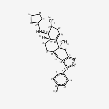 C[C@]12Cc3cnn(-c4ccc(F)cc4)c3C=C1CC[C@H]1C2=CC[C@@H](C(F)(F)F)[C@@H]1NC1CCCC1